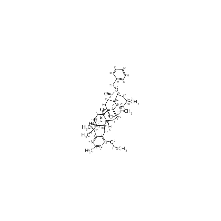 CCOc1nc(C)nc2c1C[C@]1(C)[C@H]3CC=C4[C@@H]5[C@@H](C)[C@H](C)CC[C@]5(C(=O)OCc5ccccc5)CC[C@@]4(C)[C@]3(C)CC[C@H]1C2(C)C